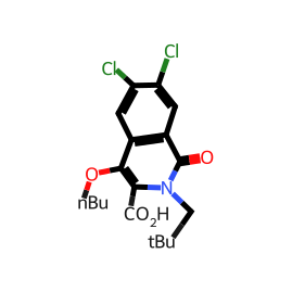 CCCCOc1c(C(=O)O)n(CC(C)(C)C)c(=O)c2cc(Cl)c(Cl)cc12